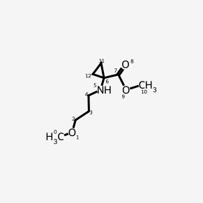 COCCCNC1(C(=O)OC)CC1